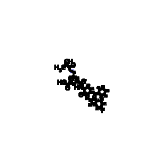 CN(C)C(=O)/C=C/CC[C@@H](CN(C)C(=O)O)C(=O)Nc1cccn(Cc2cc3cc(F)ccc3n2Cc2ccccc2)c1=O